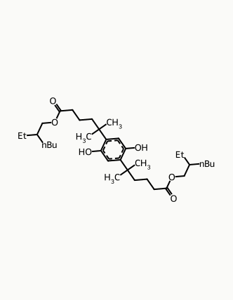 CCCCC(CC)COC(=O)CCCC(C)(C)c1cc(O)c(C(C)(C)CCCC(=O)OCC(CC)CCCC)cc1O